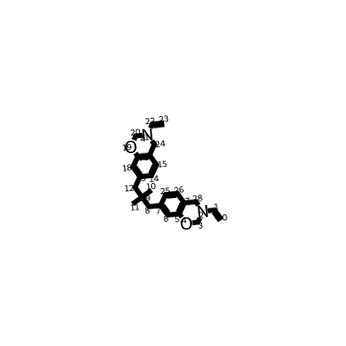 C=CN1COc2cc(CC(C)(C)Cc3ccc4c(c3)OCN(C=C)C4)ccc2C1